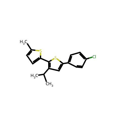 Cc1ccc(-c2sc(-c3ccc(Cl)cc3)cc2C(C)C)s1